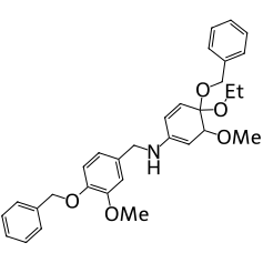 CCOC1(OCc2ccccc2)C=CC(NCc2ccc(OCc3ccccc3)c(OC)c2)=CC1OC